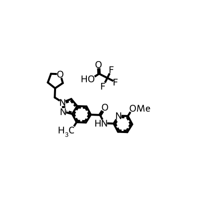 COc1cccc(NC(=O)c2cc(C)c3nn(CC4CCOC4)cc3c2)n1.O=C(O)C(F)(F)F